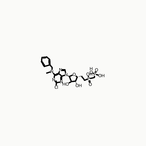 CN(Cc1ccccc1)c1nc(Cl)nc2c1ncn2[C@@H]1O[C@H](CCP(=O)(O)CP(=O)(O)O)[C@H](O)C1O